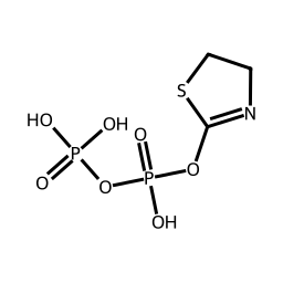 O=P(O)(O)OP(=O)(O)OC1=NCCS1